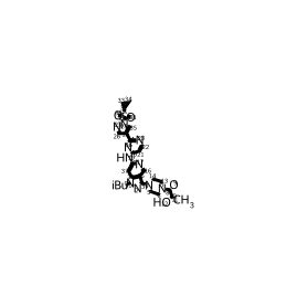 CCC(C)n1nc(N2CCN(C(=O)[C@H](C)O)CC2)c2cnc(Nc3ccnc(-c4cnn(S(=O)(=O)C5CC5)c4)n3)cc21